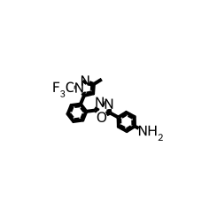 Cc1cc(-c2ccccc2-c2nnc(-c3ccc(N)cc3)o2)n(C(F)(F)F)n1